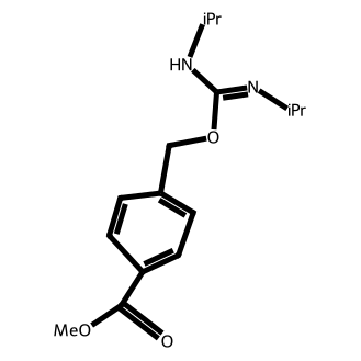 COC(=O)c1ccc(CO/C(=N\C(C)C)NC(C)C)cc1